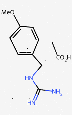 CC(=O)O.COc1ccc(CNC(=N)N)cc1